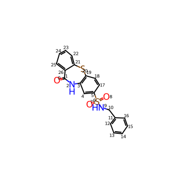 O=C1Nc2cc(S(=O)(=O)NCc3ccccc3)ccc2Sc2ccccc21